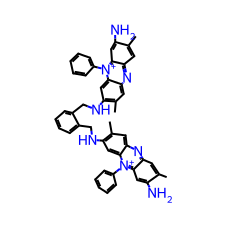 Cc1cc2nc3cc(C)c(NCc4ccccc4CNc4cc5c(cc4C)nc4cc(C)c(N)cc4[n+]5-c4ccccc4)cc3[n+](-c3ccccc3)c2cc1N